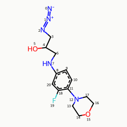 [N-]=[N+]=NCC(O)CNc1ccc(N2CCOCC2)c(F)c1